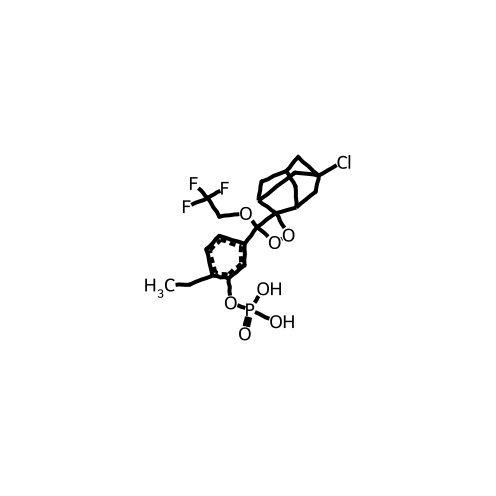 CCc1ccc(C2(OCC(F)(F)F)OOC23C2CC4CC3CC(Cl)(C4)C2)cc1OP(=O)(O)O